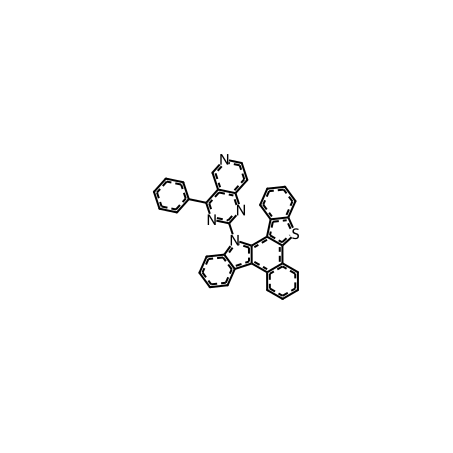 c1ccc(-c2nc(-n3c4ccccc4c4c5ccccc5c5sc6ccccc6c5c43)nc3ccncc23)cc1